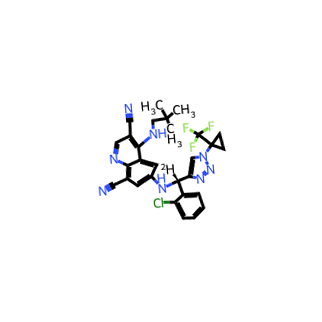 [2H][C@@](Nc1cc(C#N)c2ncc(C#N)c(NCC(C)(C)C)c2c1)(c1cn(C2(C(F)(F)F)CC2)nn1)c1ccccc1Cl